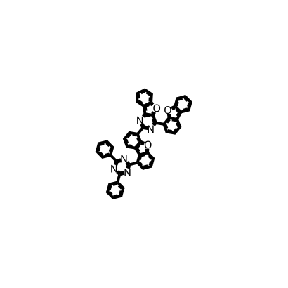 c1ccc(-c2nc(-c3ccccc3)nc(-c3cccc4oc5c(-c6nc(-c7cccc8c7oc7ccccc78)c7oc8ccccc8c7n6)cccc5c34)n2)cc1